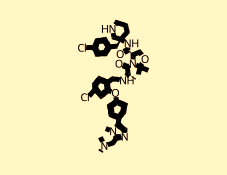 C[C@H](NCc1ccc(Cl)cc1Oc1ccc(-c2cnc(CN(C)C)n2C)cc1)C(=O)N1[C@H](C(=O)N[C@@]2(Cc3ccc(Cl)cc3)CCCNC2)COC1(C)C